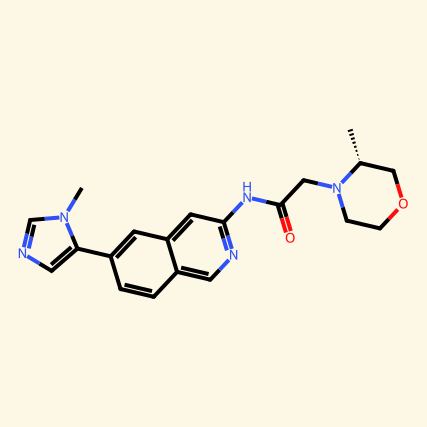 C[C@@H]1COCCN1CC(=O)Nc1cc2cc(-c3cncn3C)ccc2cn1